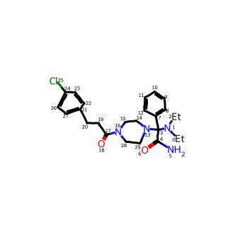 CCN(CC)C(C(N)=O)(c1ccccc1)N1CCN(C(=O)[CH]Cc2ccc(Cl)cc2)CC1